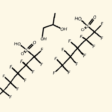 CC(O)CO.O=S(=O)(O)C(F)(F)C(F)(F)C(F)(F)C(F)(F)C(F)(F)F.O=S(=O)(O)C(F)(F)C(F)(F)C(F)(F)C(F)(F)C(F)(F)F